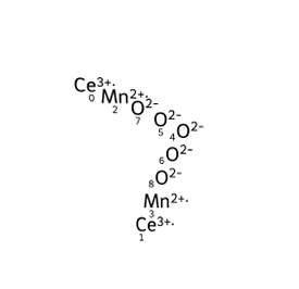 [Ce+3].[Ce+3].[Mn+2].[Mn+2].[O-2].[O-2].[O-2].[O-2].[O-2]